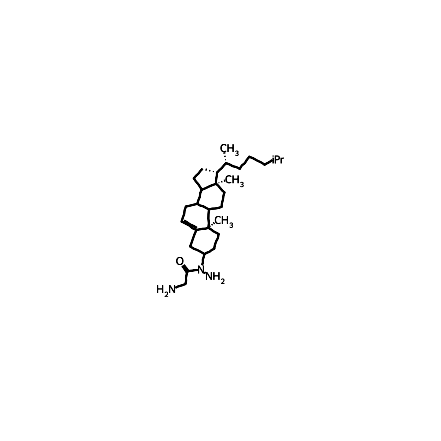 CC(C)CCC[C@@H](C)[C@H]1CCC2C3CC=C4CC(N(N)C(=O)CN)CC[C@]4(C)C3CC[C@@]21C